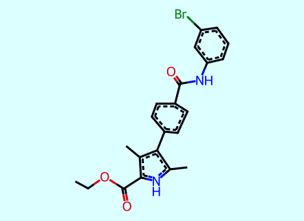 CCOC(=O)c1[nH]c(C)c(-c2ccc(C(=O)Nc3cccc(Br)c3)cc2)c1C